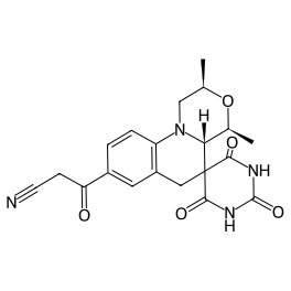 C[C@@H]1CN2c3ccc(C(=O)CC#N)cc3CC3(C(=O)NC(=O)NC3=O)[C@H]2[C@H](C)O1